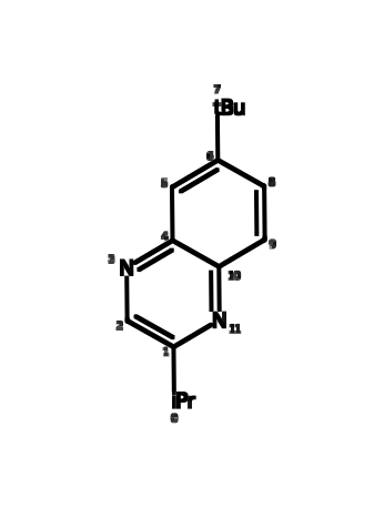 CC(C)c1cnc2cc(C(C)(C)C)ccc2n1